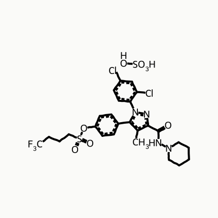 Cc1c(C(=O)NN2CCCCC2)nn(-c2ccc(Cl)cc2Cl)c1-c1ccc(OS(=O)(=O)CCCC(F)(F)F)cc1.O=S(=O)(O)O